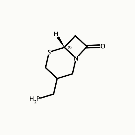 O=C1C[C@H]2SCC(CP)CN12